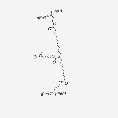 CCCCCC(CCCCC)CCOC(=O)CCCCCCCCCC(CCCCCCCC(=O)OCCC(CCCCC)CCCCC)C(=O)OCCCN(C)CC